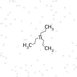 CC[CH2][Ti]([CH2]CC)[CH2]CC